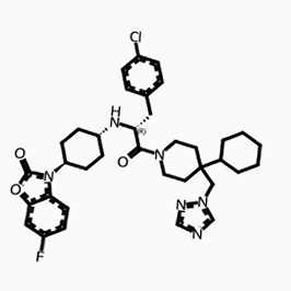 O=C([C@@H](Cc1ccc(Cl)cc1)N[C@H]1CC[C@H](n2c(=O)oc3cc(F)ccc32)CC1)N1CCC(Cn2cncn2)(C2CCCCC2)CC1